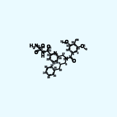 COc1cc(C(=O)N(CCCc2ccccc2)Cc2cccc(C(=O)NS(N)(=O)=O)n2)cc(OC)c1C